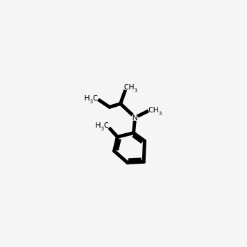 CCC(C)N(C)c1ccccc1C